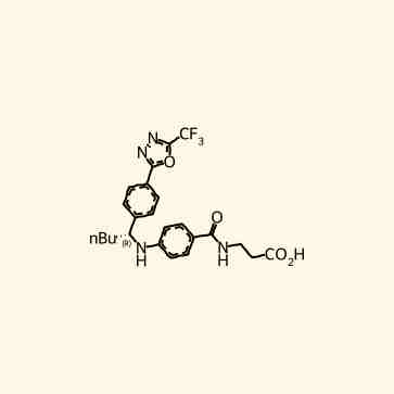 CCCC[C@@H](Nc1ccc(C(=O)NCCC(=O)O)cc1)c1ccc(-c2nnc(C(F)(F)F)o2)cc1